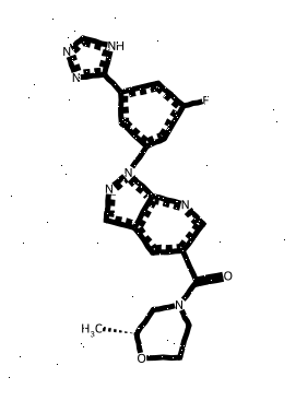 C[C@@H]1CN(C(=O)c2cnc3c(cnn3-c3cc(F)cc(-c4nnc[nH]4)c3)c2)CCO1